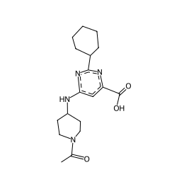 CC(=O)N1CCC(Nc2cc(C(=O)O)nc(C3CCCCC3)n2)CC1